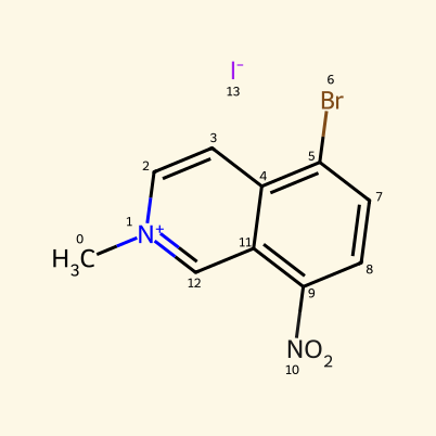 C[n+]1ccc2c(Br)ccc([N+](=O)[O-])c2c1.[I-]